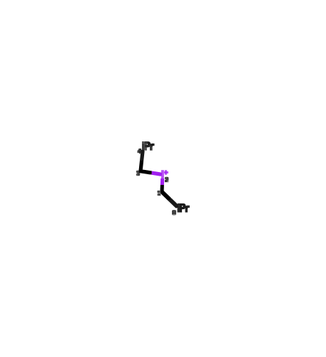 CC(C)C[I+]CC(C)C